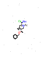 C=C(OCc1ccccc1)[C@H]1CN(C(C)=O)[C@H](C(=N)Cl)CC12CC2